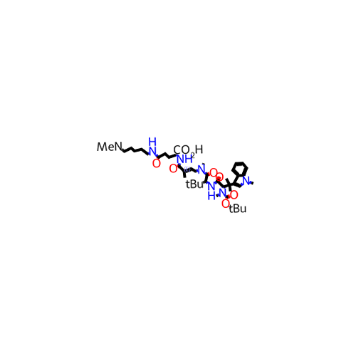 CNCCCCCNC(=O)CCC(NC(=O)/C(C)=C/CN(C)C(=O)C(NC(=O)C(N(C)C(=O)OC(C)(C)C)C(C)(C)c1cn(C)c2ccccc12)C(C)(C)C)C(=O)O